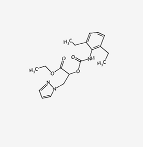 CCOC(=O)C(Cn1cccn1)OC(=O)Nc1c(CC)cccc1CC